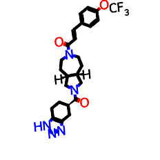 O=C(/C=C/c1ccc(OC(F)(F)F)cc1)N1CC[C@@H]2CN(C(=O)[C@@H]3CCc4[nH]nnc4C3)C[C@@H]2CC1